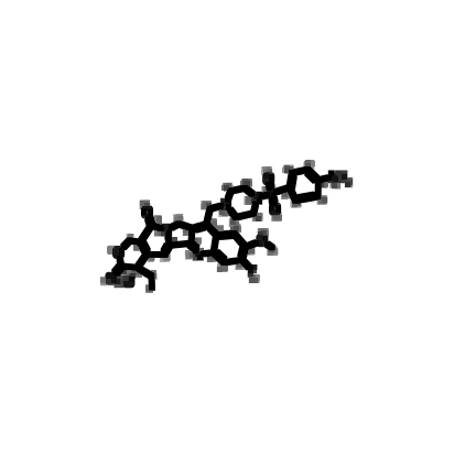 CC[C@@]1(O)C(=O)OCc2c1cc1n(c2=O)Cc2c-1nc1cc(F)c(OC)cc1c2CN1CCN(S(=O)(=O)c2ccc(N)cc2)CC1